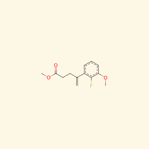 C=C(CCC(=O)OC)c1cccc(OC)c1F